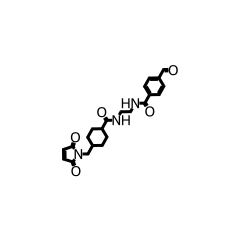 O=Cc1ccc(C(=O)NCCNC(=O)C2CCC(CN3C(=O)C=CC3=O)CC2)cc1